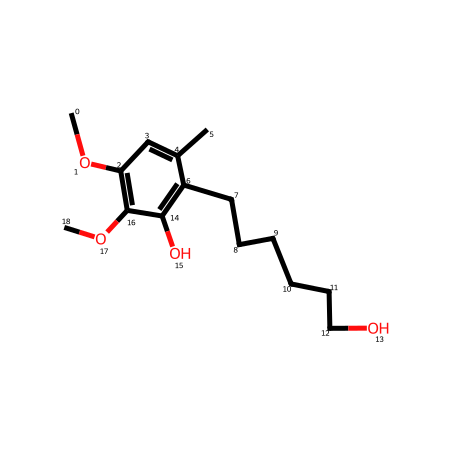 COc1cc(C)c(CCCCCCO)c(O)c1OC